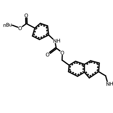 CCCCOC(=O)c1ccc(NC(=O)OCc2ccc3cc(CN)ccc3c2)cc1